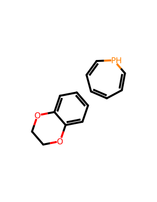 C1=CC=CPC=C1.c1ccc2c(c1)OCCO2